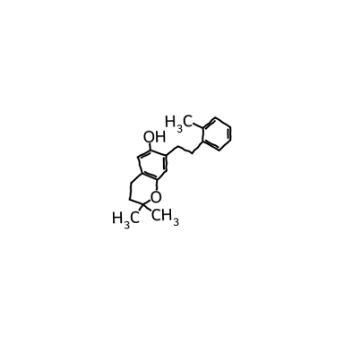 Cc1ccccc1CCc1cc2c(cc1O)CCC(C)(C)O2